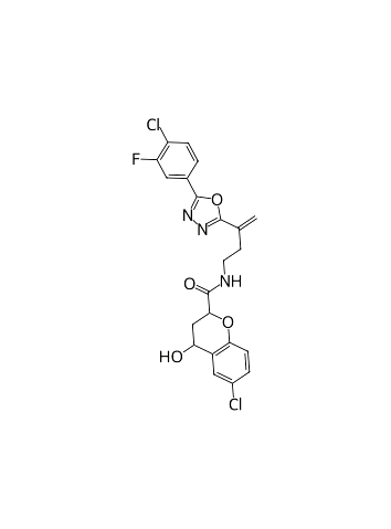 C=C(CCNC(=O)C1CC(O)c2cc(Cl)ccc2O1)c1nnc(-c2ccc(Cl)c(F)c2)o1